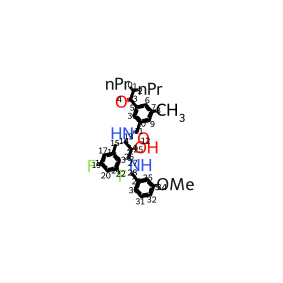 CCCC(CCC)C(=O)c1cc(C)cc(C(=O)N[C@@H](Cc2cc(F)cc(F)c2)[C@@H](O)CNCc2cccc(OC)c2)c1